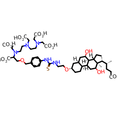 C[C@H](CCC(=O)O)[C@H]1CC[C@H]2[C@@H]3[C@H](O)C[C@@H]4C[C@@H](OCCNC(=S)Nc5ccc(COCC(C(=O)O)N(CCN(CCN(CC(=O)O)CC(=O)O)CC(=O)O)CC(=O)O)cc5)CC[C@]4(C)[C@H]3C[C@H](O)[C@]12C